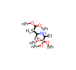 CCCOC(OCCC)[SiH2]C(CC)NC(CC)[Si](OCCC)(OCCC)OCCC